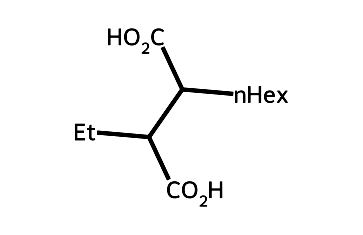 CCCCCCC(C(=O)O)C(CC)C(=O)O